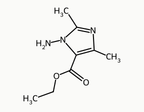 CCOC(=O)c1c(C)nc(C)n1N